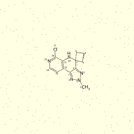 Cn1nc2c(n1)C1(CCC1)Nc1c-2ccnc1Cl